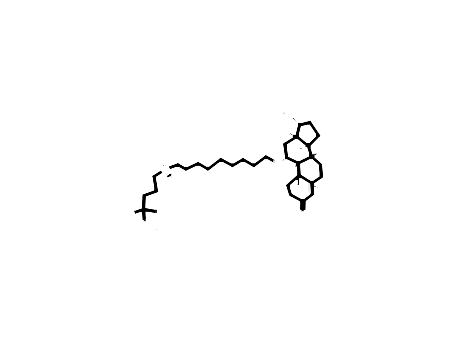 C[C@]12CCC(=O)C[C@@H]1CC[C@@H]1[C@@H]2[C@@H](OCCCCCCCCCS(=O)(=O)CCCC(F)(F)C(F)(F)F)C[C@]2(C)[C@@H](O)CC[C@@H]12